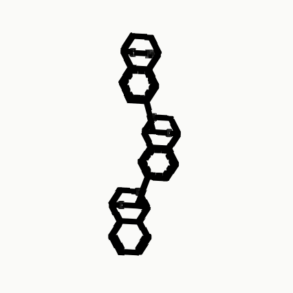 C1=CC2C3COC(C(c4ccc5c(c4)C4SCC5CC4c4ccc5c(c4)C4CCC5CN4)C3)C2C=C1